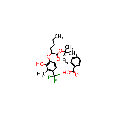 CCCCC(Oc1ccc(C(F)(F)F)c(C)c1O)C(=O)OC(C)(C)C.O=C(O)c1ccccc1